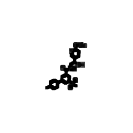 COc1ccc(C(O)CNC(=O)c2cc(-c3ccc(C)cc3)cc(S(C)(=O)=O)c2)cn1